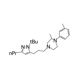 CCCc1cc(CCCN2CCN(c3cccc(C)c3)C(C)C2)n(C(C)(C)C)n1